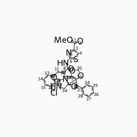 COC(=O)c1csc(NC(=O)[C@H](Cc2cccc(Cl)c2)[N+]2(C3=C(Cc4ccccc4)OCO3)C(=O)CNC2=O)n1